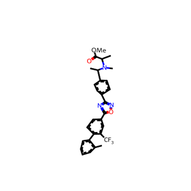 COC(=O)C(C)N(C)C(C)c1ccc(-c2noc(-c3ccc(-c4ccccc4C)c(C(F)(F)F)c3)n2)cc1